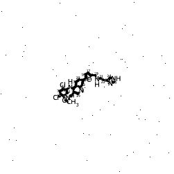 COc1cc(Nc2c(C#N)cnc3cc(-c4ccc(CNCCc5c[nH]cn5)o4)ccc23)c(Cl)cc1Cl